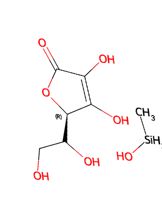 C[SiH2]O.O=C1O[C@H](C(O)CO)C(O)=C1O